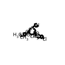 C[C@H]1CN(S(=O)(=O)c2ccc(N(C)C)cc2)CCCN(Cc2ccncc2)CCCN(S(=O)(=O)N2CCc3cc(Cl)ccc3C2)C1